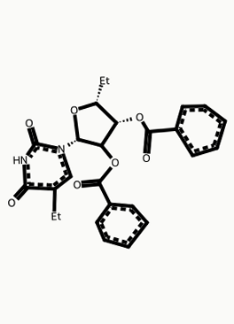 CCc1cn([C@@H]2O[C@H](CC)[C@H](OC(=O)c3ccccc3)C2OC(=O)c2ccccc2)c(=O)[nH]c1=O